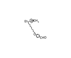 CCC(CCCCCCCCOc1ccc(C=O)cc1)C1CCN(C)O1